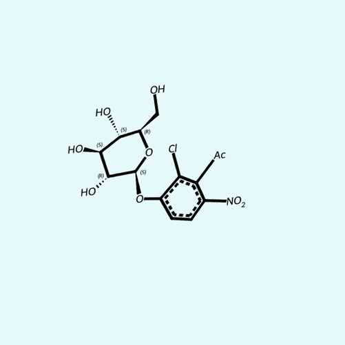 CC(=O)c1c([N+](=O)[O-])ccc(O[C@@H]2O[C@H](CO)[C@@H](O)[C@H](O)[C@H]2O)c1Cl